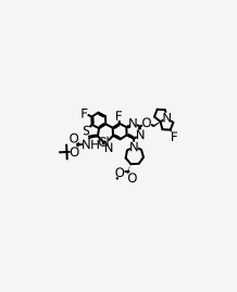 COC(=O)[C@H]1CCCN(c2nc(OC[C@@]34CCCN3C[C@H](F)C4)nc3c(F)c(-c4ccc(F)c5sc(NC(=O)OC(C)(C)C)c(C#N)c45)c(Cl)cc23)CC1